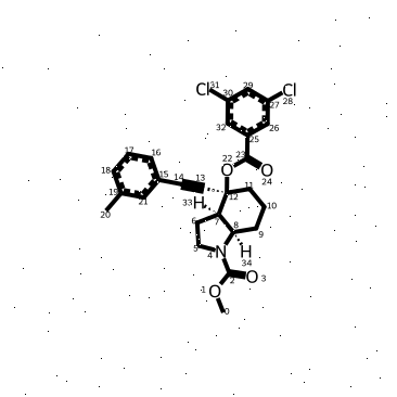 COC(=O)N1CC[C@@H]2[C@H]1CCC[C@]2(C#Cc1cccc(C)c1)OC(=O)c1cc(Cl)cc(Cl)c1